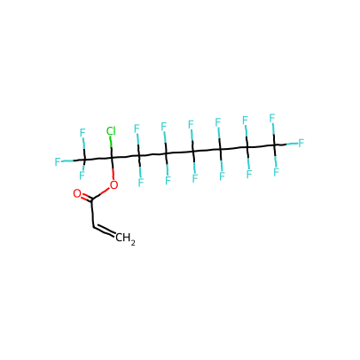 C=CC(=O)OC(Cl)(C(F)(F)F)C(F)(F)C(F)(F)C(F)(F)C(F)(F)C(F)(F)C(F)(F)F